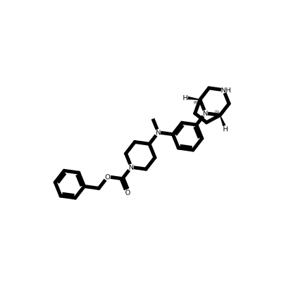 CN(c1cccc(N2[C@@H]3CC[C@H]2CNC3)c1)C1CCN(C(=O)OCc2ccccc2)CC1